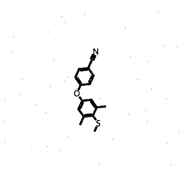 CSc1c(C)cc(Oc2ccc(C#N)cc2)cc1C